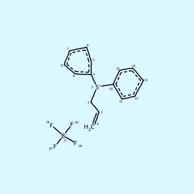 C=CC[S+](c1ccccc1)c1ccccc1.F[B-](F)(F)F